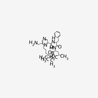 CC(C)CC(NC(=O)C(Cc1ccccc1)NC(=O)c1cnccn1)B1OC(C)(C)C(C)(CCCCCCN)O1